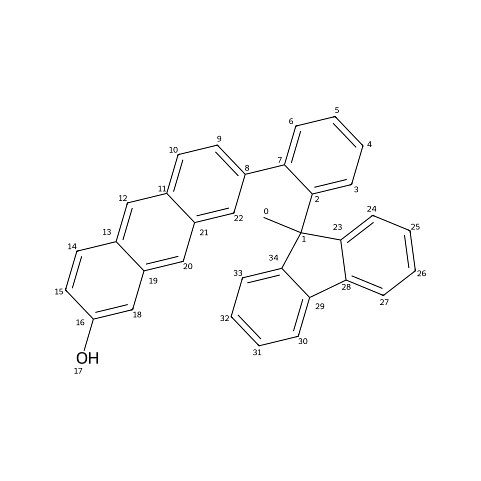 CC1(c2ccccc2-c2ccc3cc4ccc(O)cc4cc3c2)c2ccccc2-c2ccccc21